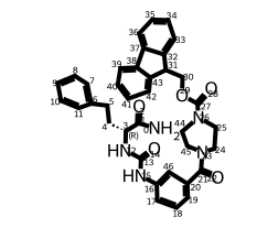 NC(=O)[C@@H](CCc1ccccc1)NC(=O)Nc1cccc(C(=O)N2CCN(C(=O)OCC3c4ccccc4-c4ccccc43)CC2)c1